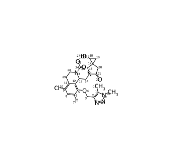 Cc1c(COc2c(F)cc(Cl)c3c2C(CN2CC4(CC4)CC2=O)N(C(=O)OC(C)(C)C)CC3)nnn1C